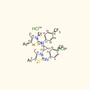 CC(=O)c1sc(=Nc2ccc(C(F)(F)F)cc2)n(C2CC2)c1C.CCn1c(C)c(C(C)=O)sc1=Nc1ccc(C(F)(F)F)cc1.Cl.Cl